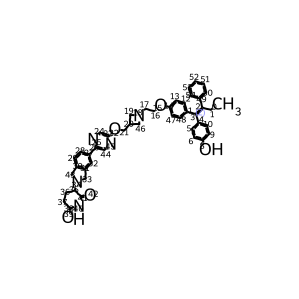 CC/C(=C(\c1ccc(O)cc1)c1ccc(OCCN2CC(COc3cnc(-c4ccc5c(c4)CN(C4CCC(=O)NC4=O)C5)cn3)C2)cc1)c1ccccc1